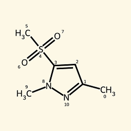 Cc1cc(S(C)(=O)=O)n(C)n1